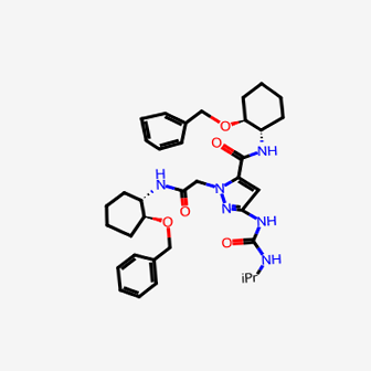 CC(C)NC(=O)Nc1cc(C(=O)N[C@H]2CCCC[C@@H]2OCc2ccccc2)n(CC(=O)N[C@H]2CCCC[C@@H]2OCc2ccccc2)n1